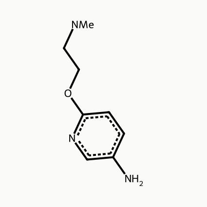 CNCCOc1ccc(N)cn1